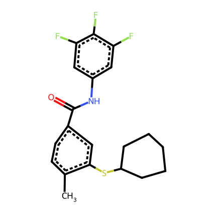 Cc1ccc(C(=O)Nc2cc(F)c(F)c(F)c2)cc1SC1CCCCC1